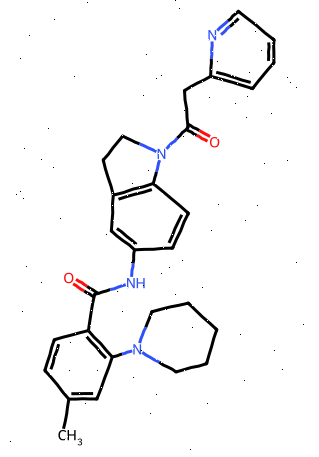 Cc1ccc(C(=O)Nc2ccc3c(c2)CCN3C(=O)Cc2ccccn2)c(N2CCCCC2)c1